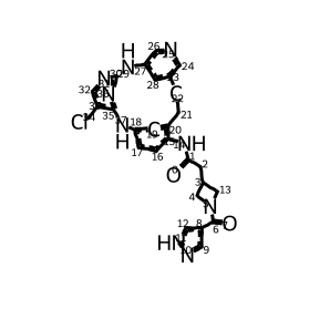 O=C(CC1CN(C(=O)c2cn[nH]c2)C1)Nc1ccc2cc1CCc1cncc(c1)Nc1ncc(Cl)c(n1)N2